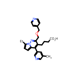 CCc1ccc2c(-c3cncc(C)c3)c(CCCC(=O)O)c(COCc3ccncc3)nn12